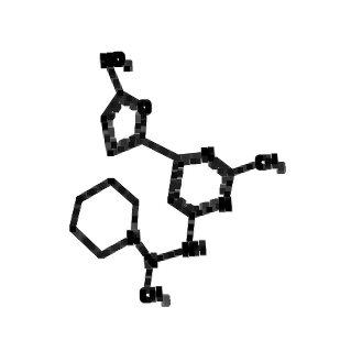 Cc1nc(NN(C)N2CCCCC2)cc(-c2ccc([N+](=O)[O-])o2)n1